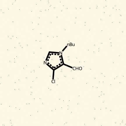 CCCCn1cnc(Cl)c1C=O